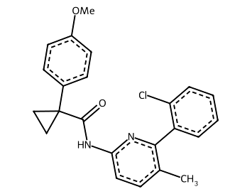 COc1ccc(C2(C(=O)Nc3ccc(C)c(-c4ccccc4Cl)n3)CC2)cc1